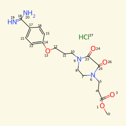 COC(=O)CCN1CCN(CCCOc2ccc(C(=N)N)cc2)C(=O)C1=O.Cl